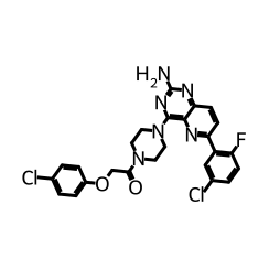 Nc1nc(N2CCN(C(=O)COc3ccc(Cl)cc3)CC2)c2nc(-c3cc(Cl)ccc3F)ccc2n1